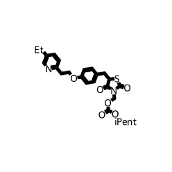 CCCC(C)OC(=O)OCN1C(=O)SC(Cc2ccc(OCCc3ccc(CC)cn3)cc2)C1=O